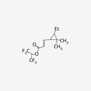 CCC1C(/C=C/C(=O)OC(C(F)(F)F)C(F)(F)F)C1(C)C